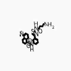 CN(C)c1cccc2c(S(=O)(=O)Nc3cccc(-c4csc(NC(=O)CCCN)n4)c3)cccc12